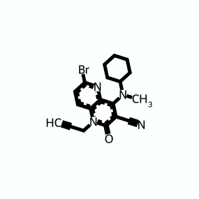 C#CCn1c(=O)c(C#N)c(N(C)C2CCCCC2)c2nc(Br)ccc21